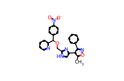 Cc1onc(-c2ccccc2)c1-c1c[nH]c(COC(c2ccc([N+](=O)[O-])cc2)c2ccccn2)n1